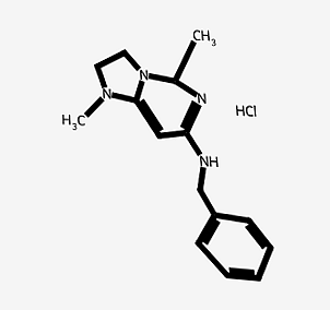 CC1N=C(NCc2ccccc2)C=C2N(C)CCN21.Cl